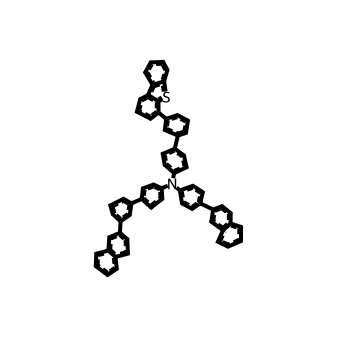 c1cc(-c2ccc(N(c3ccc(-c4cccc(-c5cccc6c5sc5ccccc56)c4)cc3)c3ccc(-c4ccc5ccccc5c4)cc3)cc2)cc(-c2ccc3ccccc3c2)c1